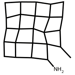 CC1C2C3CC4C5C6CC7C8C9CC%10C%11C(N)C1%12C21C34C52C67C83C%109C%11%12C123